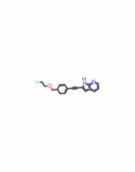 FCCOCC1C=CC(C#Cc2cc3cccnc3[nH]2)=CC1